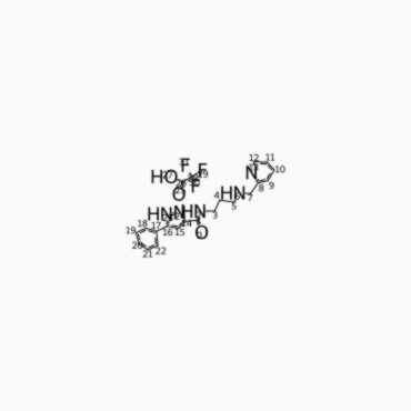 O=C(NCCCNCc1ccccn1)c1cc(-c2ccccc2)[nH]n1.O=C(O)C(F)(F)F